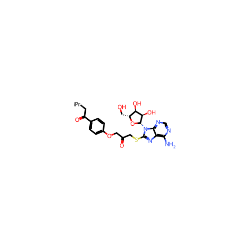 CC(C)CC(=O)c1ccc(OCC(=O)CSc2nc3c(N)ncnc3n2[C@@H]2O[C@H](CO)[C@@H](O)[C@H]2O)cc1